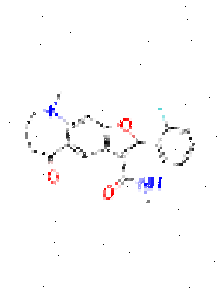 CNC(=O)c1c(-c2ccccc2F)oc2cc3c(cc12)C(=O)CCCN3C